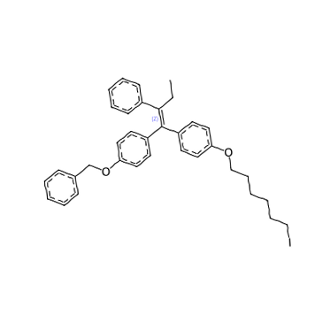 CC/C(=C(\c1ccc(OCCCCCCI)cc1)c1ccc(OCc2ccccc2)cc1)c1ccccc1